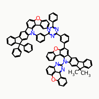 CC1(C)c2ccccc2-c2cc3c4cc(-c5cccc(-c6nc(-c7ccccc7)nc(-c7cccc(-n8c9cc%10c(cc9c9ccc%11oc%12ccccc%12c%11c98)-c8ccccc8C%10(c8ccccc8)c8ccccc8)c7)n6)c5)c5oc6ccccc6c5c4n(-c4nc5c6c(cccc6n4)Oc4ccccc4-5)c3cc21